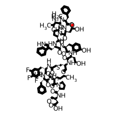 CCCC[C@@H](C(=O)N1CCC[C@@H]1C(=O)N[C@H](C=O)CC(=O)O)N(C)C(=O)[C@H](Cc1ccccc1)N(C)C(=O)[C@H](Cc1cc(F)c(F)c(F)c1)NC(=O)CSC[C@@H](C=O)NC(=O)[C@H](CCO)NC(=O)[C@H](Cc1ccc(O)cc1)NC(=O)[C@H](Cc1c[nH]c2ccccc12)NC(=O)[C@H]1CCCN1C(=O)[C@H](CC(=O)O)NC(=O)[C@H](Cc1ccccc1)N(C)C(=O)[C@@H](N)C(C)C